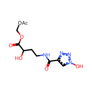 CC(=O)OCOC(=O)C(O)CCNC(=O)c1cn(O)nn1